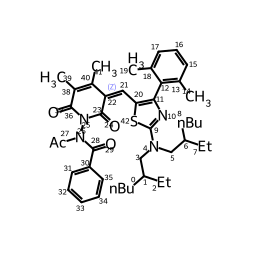 CCCCC(CC)CN(CC(CC)CCCC)c1nc(-c2c(C)cccc2C)c(/C=C2\C(=O)N(N(C(C)=O)C(=O)c3ccccc3)C(=O)C(C)=C2C)s1